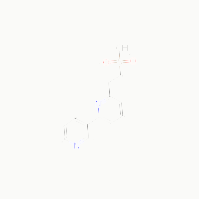 [CH2]S(=O)(=O)CCc1cccc(-c2cccnc2)n1